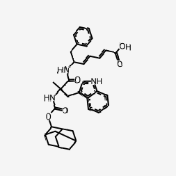 CC(Cc1c[nH]c2ccccc12)(NC(=O)OC1C2CC3CC(C2)CC1C3)C(=O)NC(C=CC=CC(=O)O)Cc1ccccc1